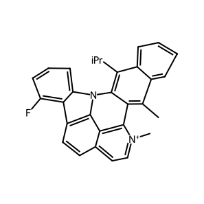 Cc1c2ccccc2c(C(C)C)c2c1c1c3c(ccc4c5c(F)cccc5n2c43)cc[n+]1C